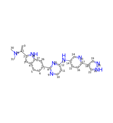 C=C(c1cc2ccc(-c3nccc(Nc4ccc(-c5cn[nH]c5)nc4)n3)cc2[nH]1)N(C)C